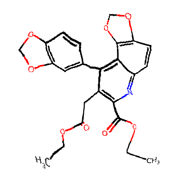 CCOC(=O)Cc1c(C(=O)OCC)nc2ccc3c(c2c1-c1ccc2c(c1)OCO2)OCO3